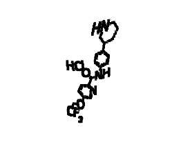 Cl.O=C(Nc1ccc(C2CCCNC2)cc1)c1ccc(OCC(F)(F)F)cn1